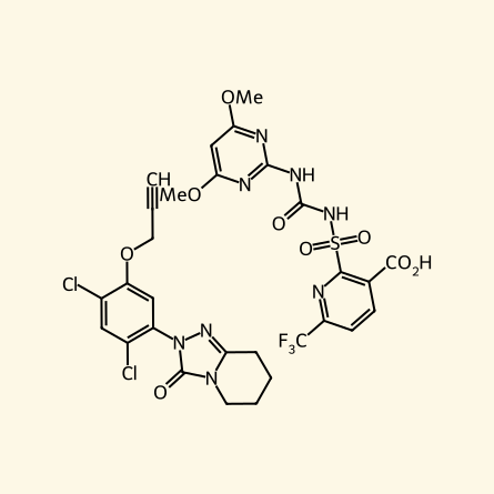 C#CCOc1cc(-n2nc3n(c2=O)CCCC3)c(Cl)cc1Cl.COc1cc(OC)nc(NC(=O)NS(=O)(=O)c2nc(C(F)(F)F)ccc2C(=O)O)n1